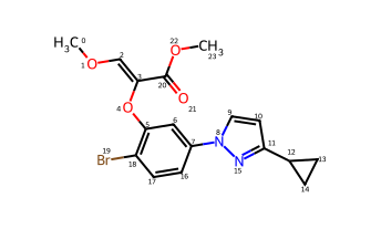 CO/C=C(\Oc1cc(-n2ccc(C3CC3)n2)ccc1Br)C(=O)OC